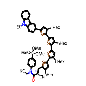 CCCCCCc1cc(-c2sc(-c3sc(-c4sc(-c5ccc6c(c5)c5ccccc5n6CC)cc4CCCCCC)cc3CCCCCC)cc2CCCCCC)sc1/C=C(\C#N)C(=O)N(CC#N)c1ccc([Si](OC)(OC)OC)cc1